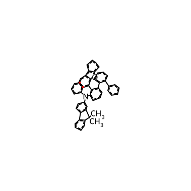 CC1(C)c2ccccc2-c2ccc(N(c3ccccc3)c3cccc(-c4ccccc4-c4ccccc4)c3-c3cccc4c3oc3ccccc34)cc21